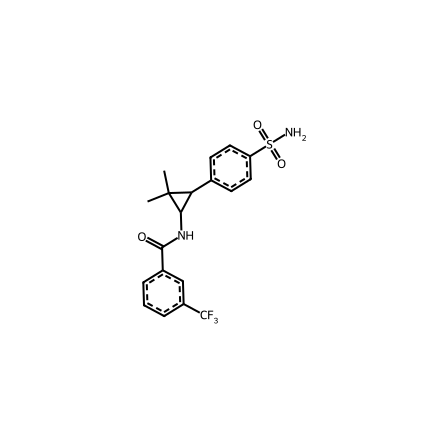 CC1(C)C(NC(=O)c2cccc(C(F)(F)F)c2)C1c1ccc(S(N)(=O)=O)cc1